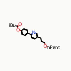 CCCCCOCCCc1ccc(-c2ccc(OC(=O)C(C)CC)cc2)nc1